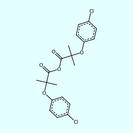 CC(C)(Oc1ccc(Cl)cc1)C(=O)OC(=O)C(C)(C)Oc1ccc(Cl)cc1